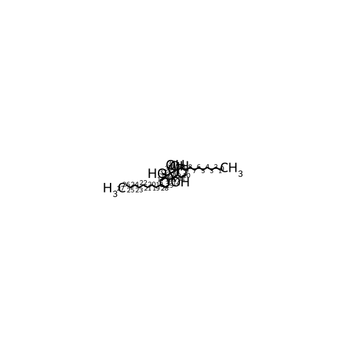 CCCCCCCCCc1ccc(C(O)(c2ccc(CCCCCCCCC)cc2)C(CO)(CO)CO)cc1